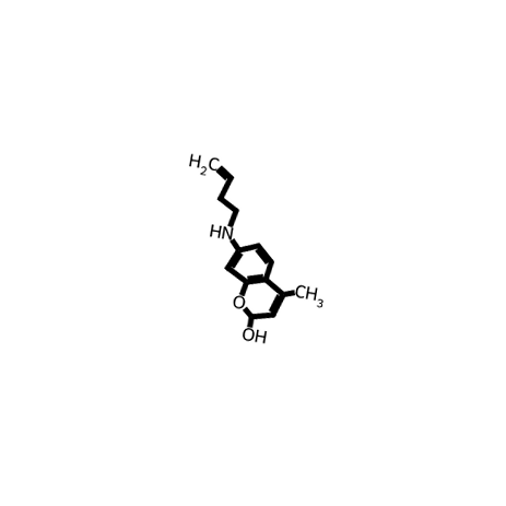 C=CCCNc1ccc2c(c1)OC(O)C=C2C